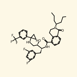 CCCC(CCC)N1CCc2c(C(=O)N[C@@H](Cc3cc(F)cc(F)c3)[C@H](O)CNC3(c4cccc(C(F)(F)F)c4)CC3)cccc2C1=O